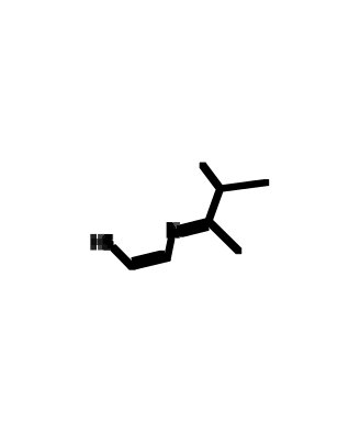 C/C(=N\C=C/S)C(C)C